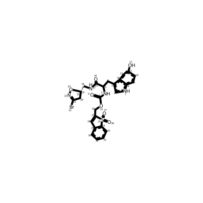 O=C(NC(Cc1c[nH]c2ccc(O)cc12)C(=O)NC[C@@H]1CC(Br)=NO1)OCC1=Cc2ccccc2S1(=O)=O